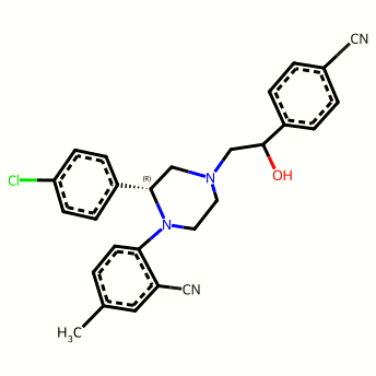 Cc1ccc(N2CCN(CC(O)c3ccc(C#N)cc3)C[C@H]2c2ccc(Cl)cc2)c(C#N)c1